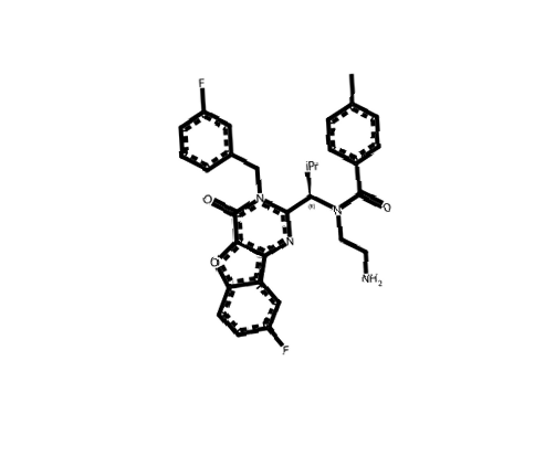 Cc1ccc(C(=O)N(CCN)[C@@H](c2nc3c(oc4ccc(F)cc43)c(=O)n2Cc2cccc(F)c2)C(C)C)cc1